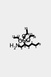 CCCCC(CN)[Si](OCC)(OCC)OCC